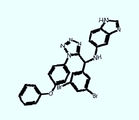 Brc1cc(Br)cc(C(Nc2ccc3[nH]cnc3c2)c2nnnn2-c2ccc(Oc3ccccc3)cc2)c1